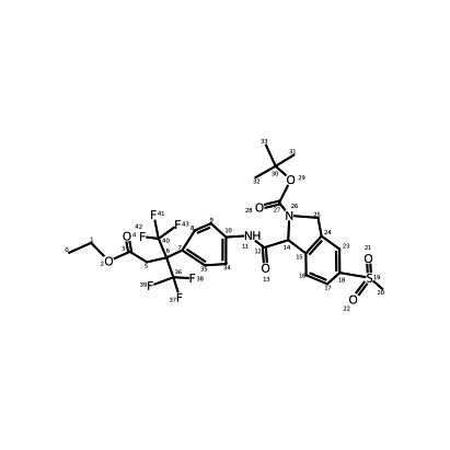 CCOC(=O)CC(c1ccc(NC(=O)C2c3ccc(S(C)(=O)=O)cc3CN2C(=O)OC(C)(C)C)cc1)(C(F)(F)F)C(F)(F)F